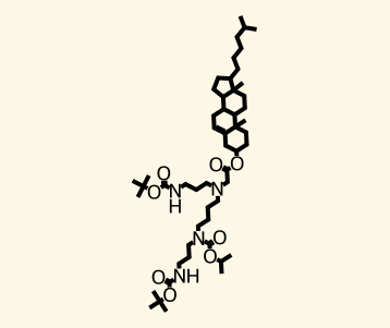 CC(C)CCCCC1CCC2C3CC=C4CC(OC(=O)CN(CCCCN(CCCNC(=O)OC(C)(C)C)C(=O)OC(C)C)CCCNC(=O)OC(C)(C)C)CCC4(C)C3CCC12C